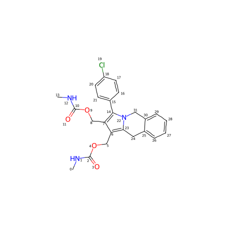 CNC(=O)OCc1c(COC(=O)NC)c(-c2ccc(Cl)cc2)n2c1Cc1ccccc1C2